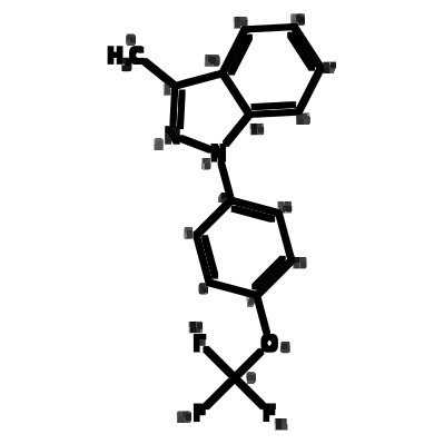 Cc1nn(-c2ccc(OC(F)(F)F)cc2)c2ccccc12